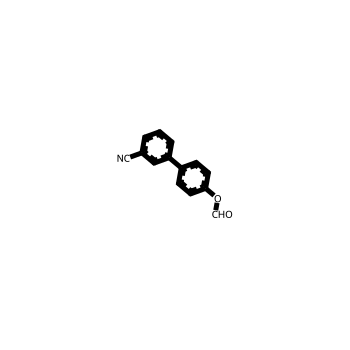 N#Cc1cccc(-c2ccc(OC=O)cc2)c1